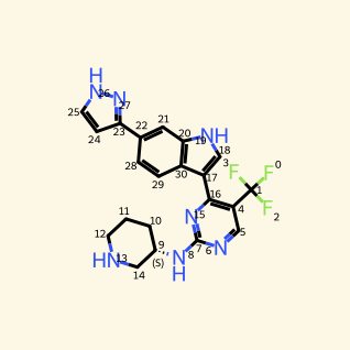 FC(F)(F)c1cnc(N[C@H]2CCCNC2)nc1-c1c[nH]c2cc(-c3cc[nH]n3)ccc12